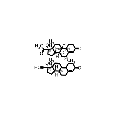 C#C[C@]1(O)CC[C@H]2[C@@H]3CCC4=CC(=O)CCC4=C3C=C[C@@]21C.CC(=O)[C@@]1(O)CC[C@H]2[C@@H]3C[C@H](C)C4=CC(=O)CC[C@]4(C)[C@H]3CC[C@@]21C